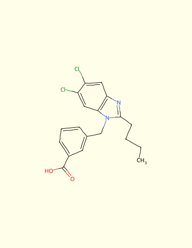 CCCCc1nc2cc(Cl)c(Cl)cc2n1Cc1cccc(C(=O)O)c1